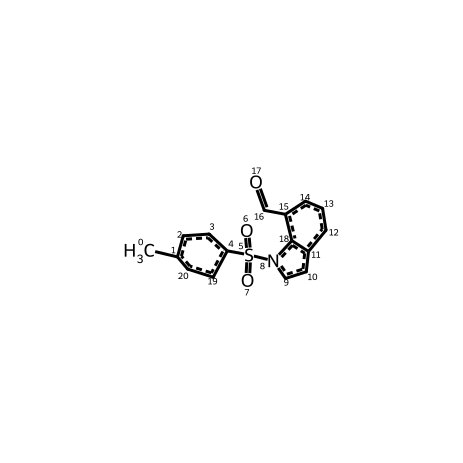 Cc1ccc(S(=O)(=O)n2ccc3cccc(C=O)c32)cc1